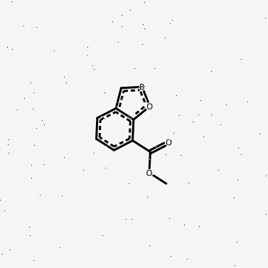 COC(=O)c1cccc2cboc12